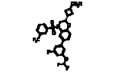 O=C(O)[C@H]1C[C@H](C2CN(S(=O)(=O)c3cccc(C(F)(F)F)c3)c3cc(-c4cc(F)cc(OC(F)F)c4)ccc3O2)C1